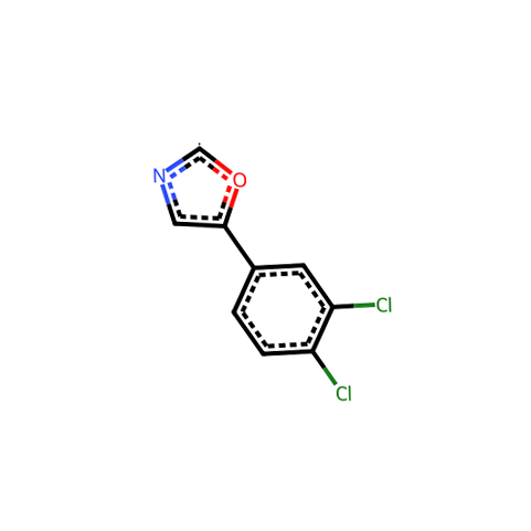 Clc1ccc(-c2cn[c]o2)cc1Cl